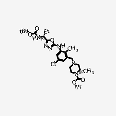 CC[C@H](NC(=O)OC(C)(C)C)c1nnc(Nc2cc(Cl)cc(CN3CCN(C(=O)OC(C)C)[C@@H](C)C3)c2C)o1